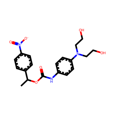 CC(OC(=O)Nc1ccc(N(CCO)CCO)cc1)c1ccc([N+](=O)[O-])cc1